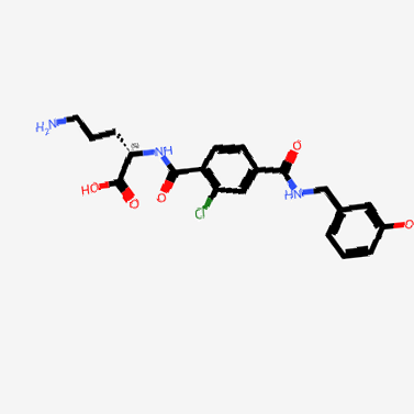 NCCC[C@H](NC(=O)c1ccc(C(=O)NCc2cccc(O)c2)cc1Cl)C(=O)O